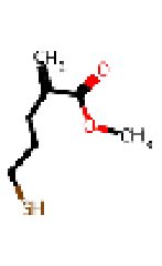 C=C(CCCS)C(=O)OC